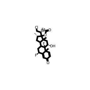 CCC(=O)OC1([C@@H](O)CCl)[C@@H](C)CC2C3C[C@H](F)C4=CC(=O)C=CC4(C)[C@@]3(F)[C@@H](O)CC21C